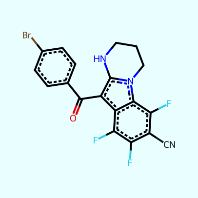 N#Cc1c(F)c(F)c2c(C(=O)c3ccc(Br)cc3)c3n(c2c1F)CCCN3